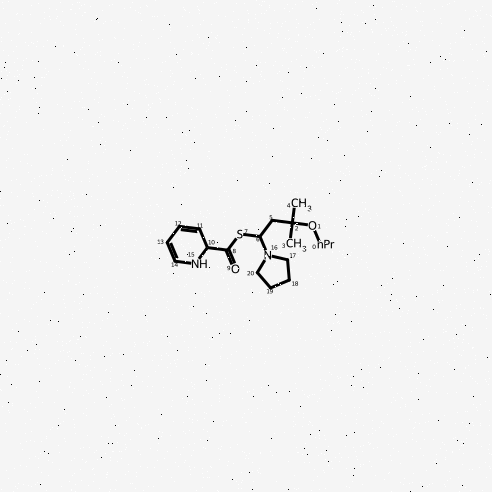 CCCOC(C)(C)CC(SC(=O)C1C=CC=CN1)N1CCCC1